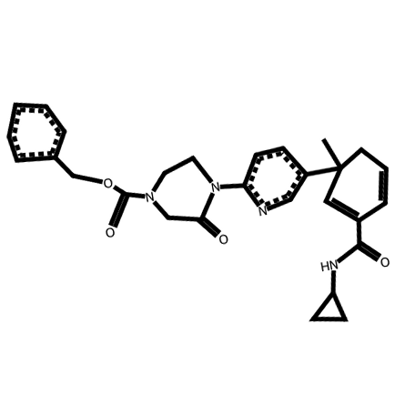 CC1(c2ccc(N3CCN(C(=O)OCc4ccccc4)CC3=O)nc2)C=C(C(=O)NC2CC2)C=CC1